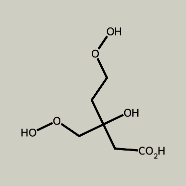 O=C(O)CC(O)(CCOO)COO